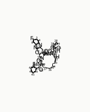 Cc1nc2ccc(F)cc2nc1O[C@@H]1C[C@H]2C(=O)N[C@]3(C(=O)NS(=O)(=O)C4(C)CC4)C[C@H]3/C=C\CCCCC[C@H](NC(=O)c3ccccc3F)C(=O)N2C1